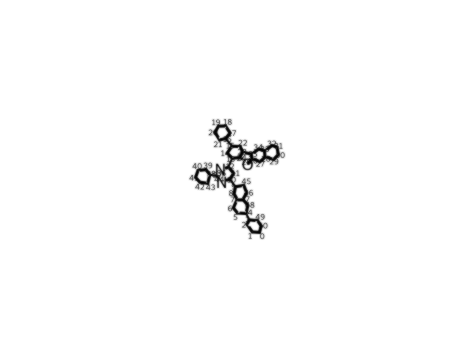 c1ccc(-c2ccc3cc(-c4cc(-c5cc(-c6ccccc6)cc6c5oc5cc7ccccc7cc56)nc(-c5ccccc5)n4)ccc3c2)cc1